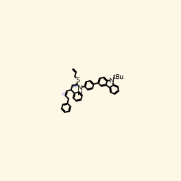 C=CCS/C(=C/C(/C=C\Cc1ccccc1)c1ccccc1)Nc1ccc(-c2ccc3c(c2)c2ccccc2n3C(C)(C)C)cc1